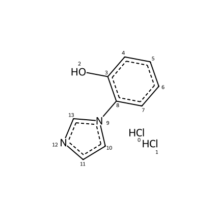 Cl.Cl.Oc1ccccc1-n1ccnc1